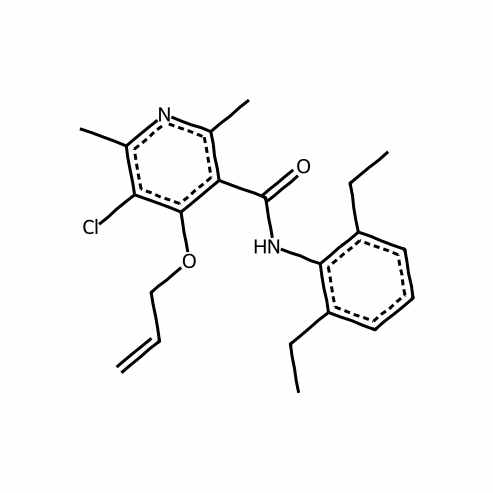 C=CCOc1c(Cl)c(C)nc(C)c1C(=O)Nc1c(CC)cccc1CC